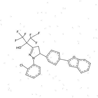 OC(C1=NN(c2ccccc2Cl)C(c2ccc(-c3cc4ccccc4o3)cc2)C1)(C(F)(F)F)C(F)(F)F